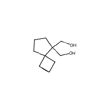 OCC1(CO)CCCC12CCC2